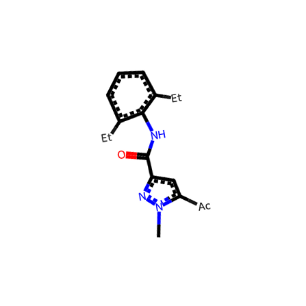 CCc1cccc(CC)c1NC(=O)c1cc(C(C)=O)n(C)n1